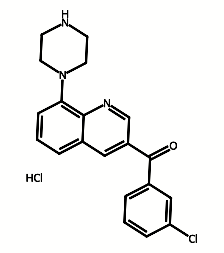 Cl.O=C(c1cccc(Cl)c1)c1cnc2c(N3CCNCC3)cccc2c1